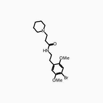 COc1cc(CCNC(=O)CCN2CCCCC2)c(OC)cc1Br